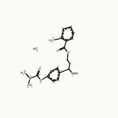 CNC(CCOC(=O)c1ccccc1C)c1ccc(OC(=O)N(C)C)cc1.Cl